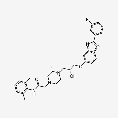 Cc1cccc(C)c1NC(=O)CN1CCN(C[C@@H](O)COc2ccc3oc(-c4cccc(F)c4)nc3c2)[C@@H](C)C1